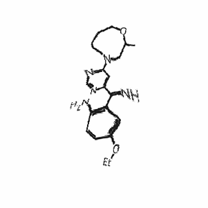 CCOc1ccc(N)c(C(=N)c2cc(N3CCCOC(C)C3)ncn2)c1